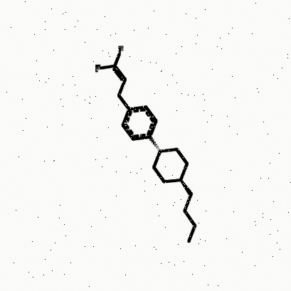 CCCC[C@H]1CC[C@H](c2ccc(CC=C(F)F)cc2)CC1